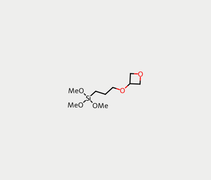 CO[Si](CCCOC1COC1)(OC)OC